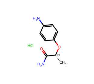 C[C@@H](Oc1ccc(N)cc1)C(N)=O.Cl